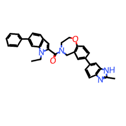 CCn1c(C(=O)N2CCOc3ccc(-c4ccc5nc(C)[nH]c5c4)cc3C2)cc2ccc(-c3ccccc3)cc21